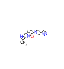 CC1C2Cc3ncc(C(F)(F)F)cc3CN2C(=O)[C@]12CCC(N1CCC(C3C=CN=N3)CC1)C2